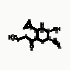 CCCC(=O)C1=C(C2CC2)N[C@H](O)[C@H](C#N)C1